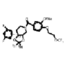 [2H]C1([2H])OC2CN(C(=O)c3ccc(OCCOC(F)(F)F)c(OC)c3)CC[C@]2(c2cc(F)cc(F)c2)O1